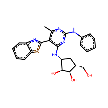 Cc1nc(Nc2ccccc2)nc(N[C@@H]2C[C@H](CO)[C@@H](O)[C@H]2O)c1-c1nc2ccccc2s1